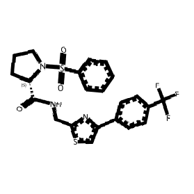 O=C(NCc1nc(-c2ccc(C(F)(F)F)cc2)cs1)[C@@H]1CCCN1S(=O)(=O)c1ccccc1